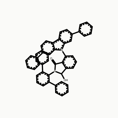 O=C1c2c(cccc2-n2c3cc(-c4ccccc4)ccc3c3ccc(-c4ccccc4)cc32)C(O)N1c1c(-c2ccccc2)cccc1-c1ccccc1